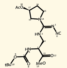 [C-]#[N+]/N=C(\NC[C@H](NC(=O)OC(C)(C)C)C(=O)OC)N1CC[C@H](OC(C)=O)C1